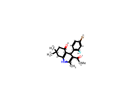 COC(=O)C1=C(C)NC2=C(C(=O)CC(C)(C)C2)C1c1ccc(Br)cc1F